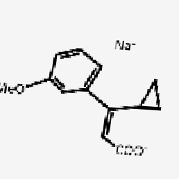 COc1cccc(C(=CC(=O)[O-])C2CC2)c1.[Na+]